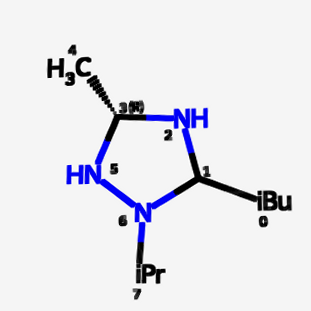 CCC(C)C1N[C@@H](C)NN1C(C)C